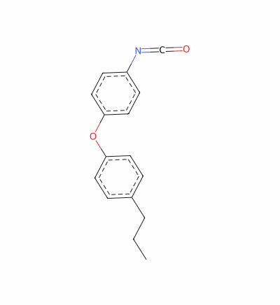 CCCc1ccc(Oc2ccc(N=C=O)cc2)cc1